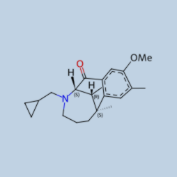 COc1cc2c(cc1C)[C@@]1(C)CCCN(CC3CC3)[C@H](C2=O)[C@@H]1C